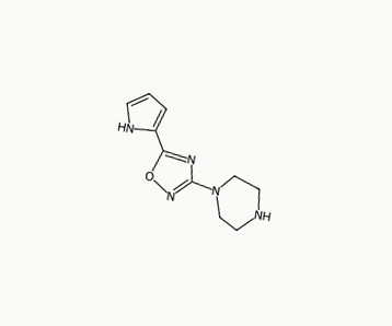 c1c[nH]c(-c2nc(N3CCNCC3)no2)c1